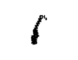 CCCCCCCCCCCc1cc2cc3ccc4c5cc6occc6cc5ccc4c3cc2o1